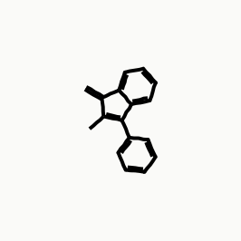 C=C1C(C)=C(c2ccccc2)c2ccccc21